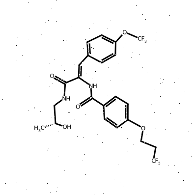 C[C@@H](O)CNC(=O)/C(=C/c1ccc(OC(F)(F)F)cc1)NC(=O)c1ccc(OCCC(F)(F)F)cc1